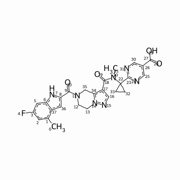 Cc1cc(F)cc2[nH]c(C(=O)N3CCn4ncc(C(=O)N(C)C5(c6ncc(C(=O)O)cn6)CC5)c4C3)cc12